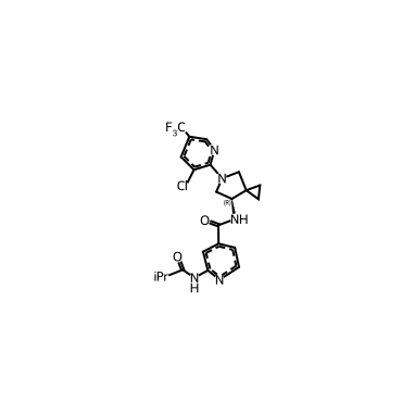 CC(C)C(=O)Nc1cc(C(=O)N[C@H]2CN(c3ncc(C(F)(F)F)cc3Cl)CC23CC3)ccn1